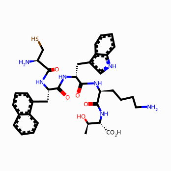 C[C@@H](O)[C@H](NC(=O)[C@H](CCCCN)NC(=O)[C@@H](Cc1c[nH]c2ccccc12)NC(=O)[C@H](Cc1cccc2ccccc12)NC(=O)[C@@H](N)CS)C(=O)O